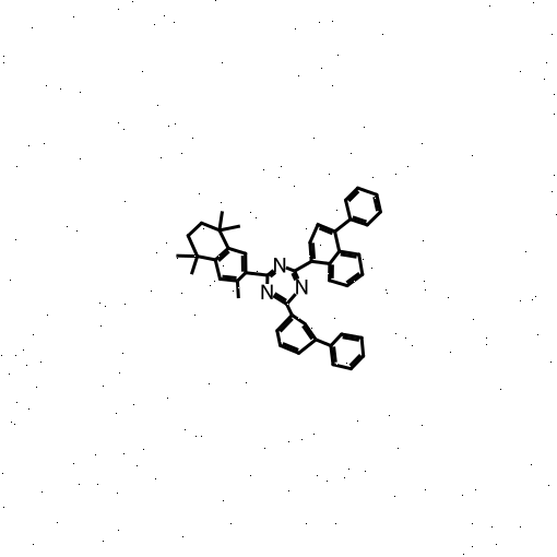 Cc1cc2c(cc1-c1nc(-c3cccc(-c4ccccc4)c3)nc(-c3ccc(-c4ccccc4)c4ccccc34)n1)C(C)(C)CCC2(C)C